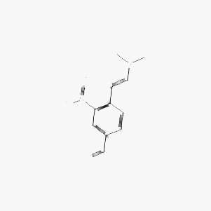 CN(C)/C=C/c1ccc(C=O)cc1[N+](=O)[O-]